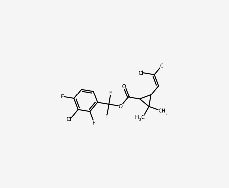 CC1(C)C(C=C(Cl)Cl)C1C(=O)OC(F)(F)c1ccc(F)c(Cl)c1F